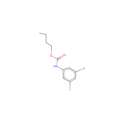 CCCCOC(=O)Nc1cc(I)cc(I)c1